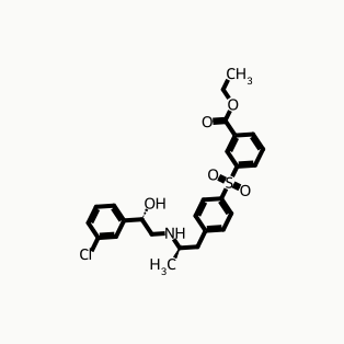 CCOC(=O)c1cccc(S(=O)(=O)c2ccc(C[C@@H](C)NC[C@@H](O)c3cccc(Cl)c3)cc2)c1